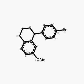 COc1ccc2c(c1)C(c1ccc(Br)cc1)CCC2